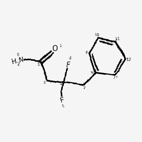 NC(=O)CC(F)(F)Cc1ccccc1